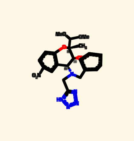 COC(OC)[C@@]1(C)Oc2ccc([N+](=O)[O-])cc2[C@@H](N(Cc2ccccc2)Cc2nnn[nH]2)[C@@H]1O